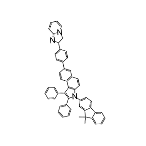 CC1(C)c2ccccc2-c2ccc(-n3c(-c4ccccc4)c(-c4ccccc4)c4c5ccc(-c6ccc(C7CN8C=CC=CC8=N7)cc6)cc5ccc43)cc21